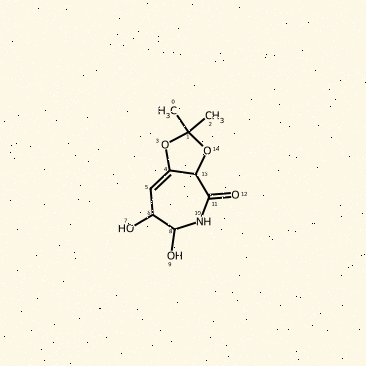 CC1(C)OC2=CC(O)C(O)NC(=O)C2O1